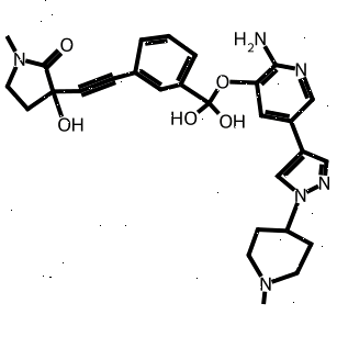 CN1CCC(n2cc(-c3cnc(N)c(OC(O)(O)c4cccc(C#CC5(O)CCN(C)C5=O)c4)c3)cn2)CC1